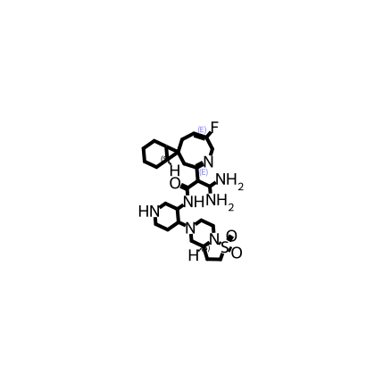 NC(N)C(C(=O)NC1CNCCC1N1CCN2[C@@H](CCS2(=O)=O)C1)/C1=N/C/C(F)=C\CC2(C1)C1CCCC[C@@H]12